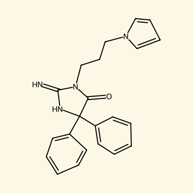 N=C1NC(c2ccccc2)(c2ccccc2)C(=O)N1CCCn1cccc1